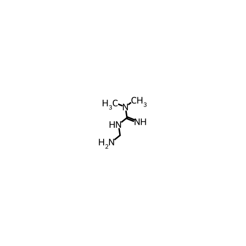 CN(C)C(=N)NCN